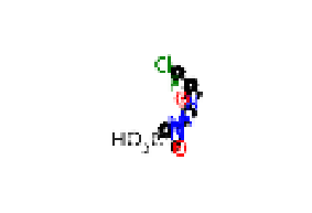 O=C(O)c1ccc2nc(CN3CCC(N4CCc5ccc(-c6ccc(Cl)cc6F)cc5C4=O)CC3)n(C[C@@H]3CCO3)c2c1